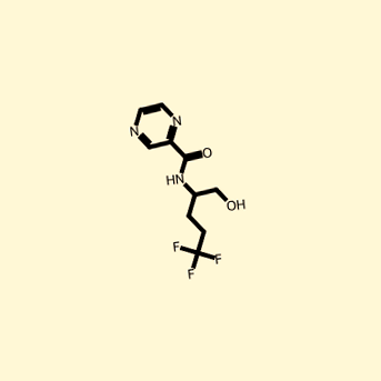 O=C(NC(CO)CCC(F)(F)F)c1cnccn1